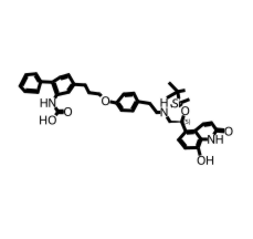 CC(C)(C)[Si](C)(C)O[C@H](CNCCc1ccc(OCCCc2ccc(-c3ccccc3)c(NC(=O)O)c2)cc1)c1ccc(O)c2[nH]c(=O)ccc12